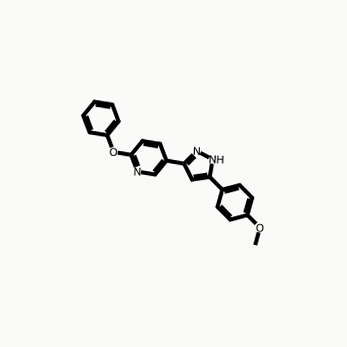 COc1ccc(-c2cc(-c3ccc(Oc4ccccc4)nc3)n[nH]2)cc1